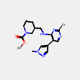 CCc1ncc(-c2cnn(C)c2)c(NCC2CCCN(C(=O)OC(C)(C)C)C2)n1